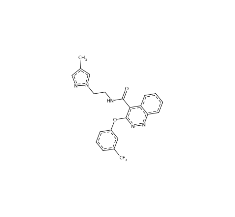 Cc1cnn(CCNC(=O)c2c(Oc3cccc(C(F)(F)F)c3)nnc3ccccc23)c1